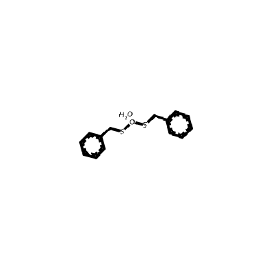 O.c1ccc(CSOSCc2ccccc2)cc1